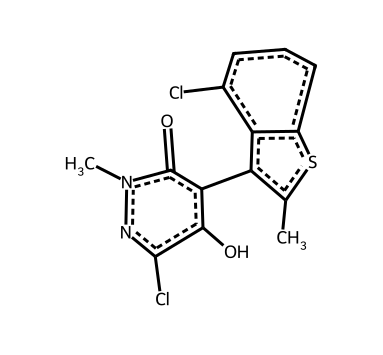 Cc1sc2cccc(Cl)c2c1-c1c(O)c(Cl)nn(C)c1=O